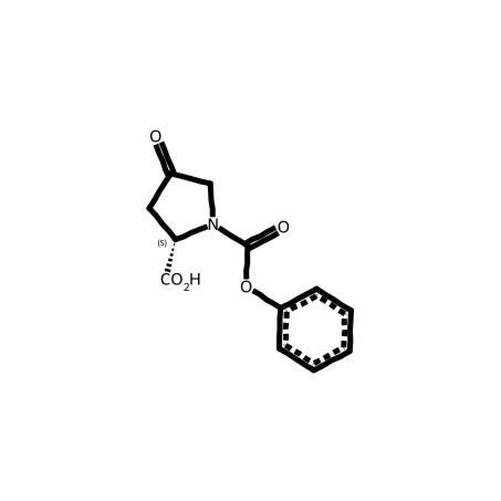 O=C1C[C@@H](C(=O)O)N(C(=O)Oc2ccccc2)C1